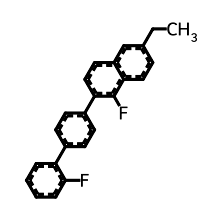 CCc1ccc2c(F)c(-c3ccc(-c4ccccc4F)cc3)ccc2c1